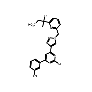 CCC(C)(CC(=O)O)c1cccc(Cn2cc(-c3cc(-c4cccc(C#N)c4)nc(N)n3)nn2)n1